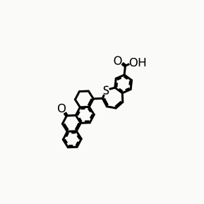 O=C(O)c1ccc2c(c1)SC(C1=c3ccc4c(c3CCC1)C(=O)C=c1ccccc1=4)=CC=C2